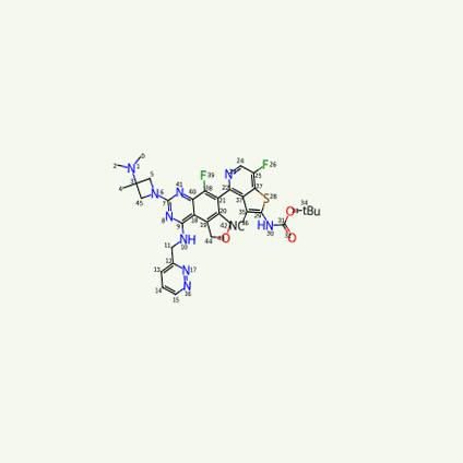 CN(C)C1(C)CN(c2nc(NCc3cccnn3)c3c4c(c(-c5ncc(F)c6sc(NC(=O)OC(C)(C)C)c(C#N)c56)c(F)c3n2)COC4)C1